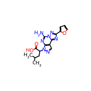 CC(C)CC(C(=O)O)n1ncc2c1nc(N)n1nc(-c3ccco3)nc21